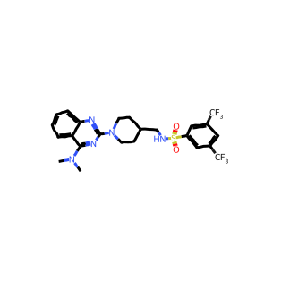 CN(C)c1nc(N2CCC(CNS(=O)(=O)c3cc(C(F)(F)F)cc(C(F)(F)F)c3)CC2)nc2ccccc12